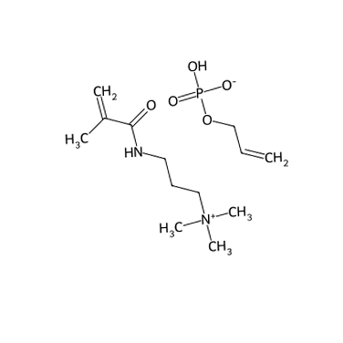 C=C(C)C(=O)NCCC[N+](C)(C)C.C=CCOP(=O)([O-])O